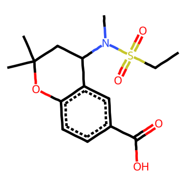 CCS(=O)(=O)N(C)C1CC(C)(C)Oc2ccc(C(=O)O)cc21